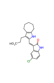 O=C(O)CCc1c(/C=C2\C(=O)Nc3ccc(Cl)cc32)[nH]c2c1CCCCC2